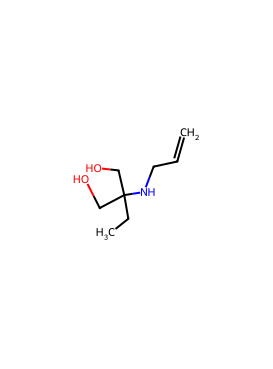 C=CCNC(CC)(CO)CO